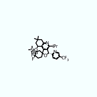 CC(C)c1nc2c(c3c1[C@H](c1ccc(C(F)(F)F)cn1)OC31CCC(F)(F)CC1)C(O[Si](C)(C)C(C)(C)C)CC(C)(C)C2